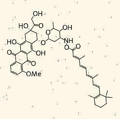 COc1cccc2c1C(=O)c1c(O)c3c(c(O)c1C2=O)C[C@@](O)(C(=O)CO)C[C@@H]3OC1CC(NOC(=O)/C=C(C)/C=C/C=C(C)/C=C/C2=C(C)CCCC2(C)C)C(O)C(C)O1